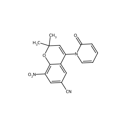 CC1(C)C=C(n2ccccc2=O)c2cc(C#N)cc([N+](=O)[O-])c2O1